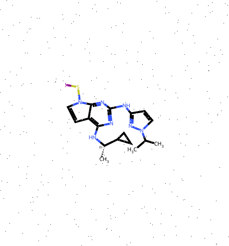 CC(C)n1ccc(Nc2nc(N[C@@H](C)C3CC3)c3ccn(SI)c3n2)n1